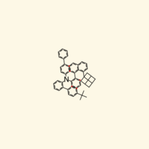 CC(C)(C)c1ccc(-c2ccccc2N(c2ccc(-c3ccccc3)cc2)c2ccccc2-c2cccc3cccc(C45CC6CC7CC(C4)C765)c23)cc1